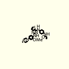 C=CC(=O)N[C@H]1CC[C@@H](Nc2nc(Nc3ccc(N4CCN(C)CC4)cc3OC)nc3ccsc23)CC1